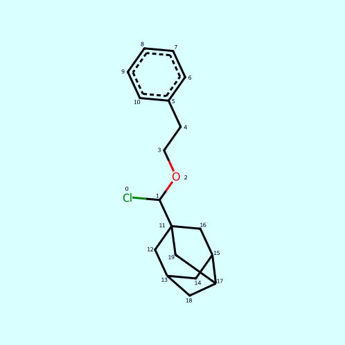 ClC(OCCc1ccccc1)C12CC3CC(C1)C(C3)C2